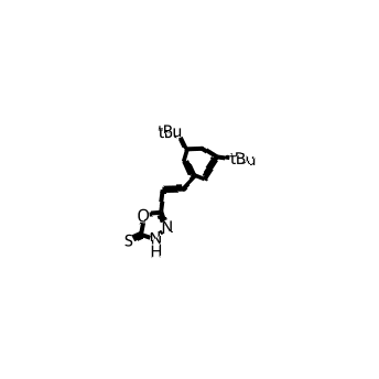 CC(C)(C)C1=CC(C=Cc2n[nH]c(=S)o2)=CC(C(C)(C)C)C1